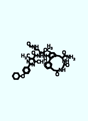 Cc1cc2cc(c1NC(=O)[C@H](CCNC=O)NC(=O)c1c(C)nc(-c3ccc(OC4CCCCC4)cc3)nc1C)-c1cccc(c1)CC(=O)NCC(=O)NC(C(N)=O)C2